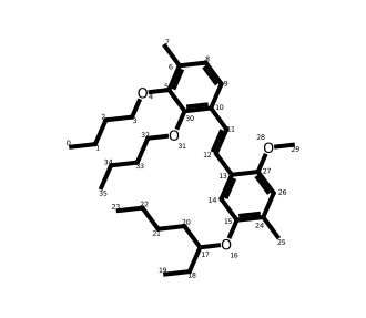 CCCCOc1c(C)ccc(/C=C/c2cc(OC(CC)CCCC)c(C)cc2OC)c1OCCCC